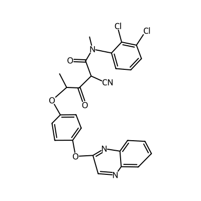 CC(Oc1ccc(Oc2cnc3ccccc3n2)cc1)C(=O)C(C#N)C(=O)N(C)c1cccc(Cl)c1Cl